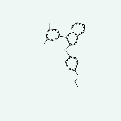 CCOc1ccc(Nc2nc3ccccn3c2-c2nc(C)nc(N)n2)cn1